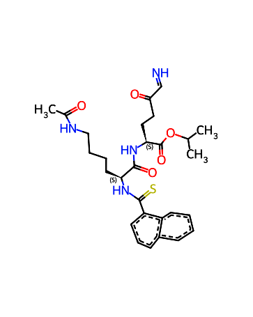 CC(=O)NCCCC[C@H](NC(=S)c1cccc2ccccc12)C(=O)N[C@@H](CCC(=O)C=N)C(=O)OC(C)C